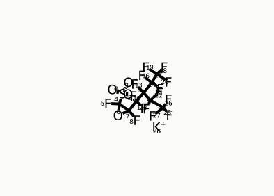 O=S(=O)([O-])C1(F)OC1(F)C(F)(F)C(F)(C(F)(F)C(F)(F)F)C(F)(F)C(F)(F)F.[K+]